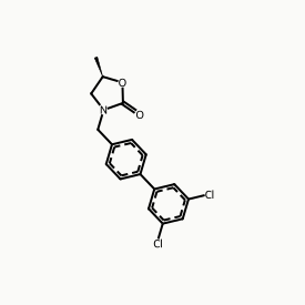 C[C@@H]1CN(Cc2ccc(-c3cc(Cl)cc(Cl)c3)cc2)C(=O)O1